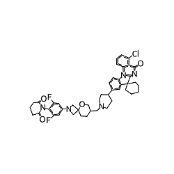 O=C1CCCC(=O)N1c1c(F)cc(N2CC3(CCC(CN4CCC(c5ccc6c(c5)C5(CCCCC5)c5nc(=O)c7c(Cl)cccc7n5-6)CC4)CO3)C2)cc1F